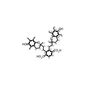 Cc1c(C)c2c(c(C)c1O)CCC(C)(CCc1c(C(=O)O)ccc(C(=O)O)c1CCC1(C)CCc3c(C)c(O)c(C)c(C)c3O1)O2